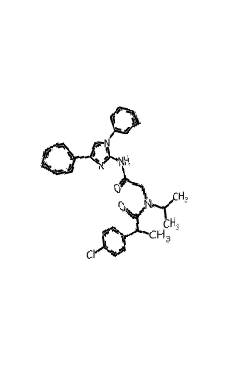 CC(C(=O)N(CC(=O)Nc1nc(-c2ccccc2)cn1-c1ccccc1)C(C)C)c1ccc(Cl)cc1